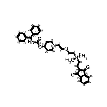 C[N+](C)(CCOCCN1CCC(OC(=O)NC(c2ccccc2)c2ccccc2)CC1)CCC1C(=O)c2ccccc2C1=O